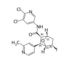 Cc1cc([C@@H]2[C@@H]3O[C@@H](C[C@H]3I)[C@@H]2C(=O)Nc2cnc(Cl)c(Cl)c2)ccn1